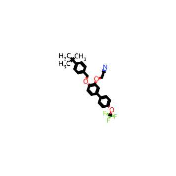 CC(C)(C)c1ccc(COc2ccc(-c3ccc(OC(F)(F)F)cc3)cc2OCC#N)cc1